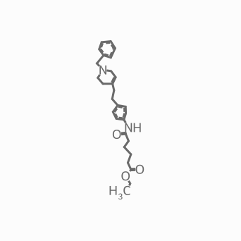 CCOC(=O)CCCCC(=O)Nc1ccc(CCC2=CCN(Cc3ccccc3)CC2)cc1